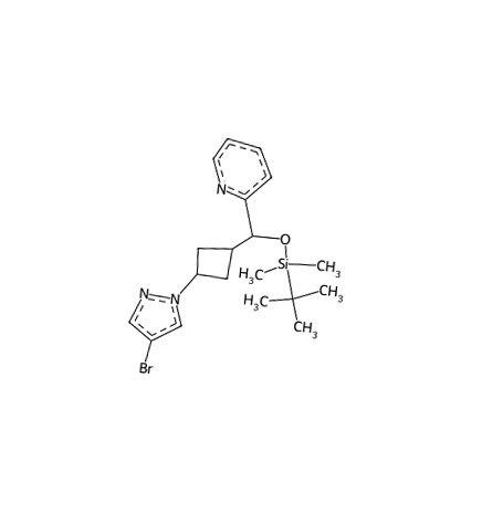 CC(C)(C)[Si](C)(C)OC(c1ccccn1)C1CC(n2cc(Br)cn2)C1